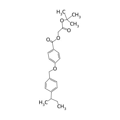 CCC(C)c1ccc(COc2ccc(C(=O)OCC(=O)OC(C)(C)C)cc2)cc1